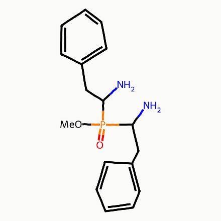 COP(=O)(C(N)Cc1ccccc1)C(N)Cc1ccccc1